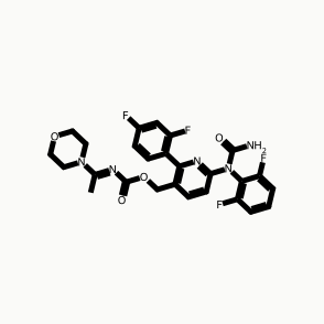 C/C(=N\C(=O)OCc1ccc(N(C(N)=O)c2c(F)cccc2F)nc1-c1ccc(F)cc1F)N1CCOCC1